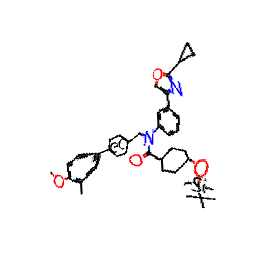 COc1ccc(C23CCC(CN(C(=O)C4CCC(O[Si](C)(C)C(C)(C)C)CC4)c4cccc(-c5coc(C6CC6)n5)c4)(CC2)CC3)cc1C